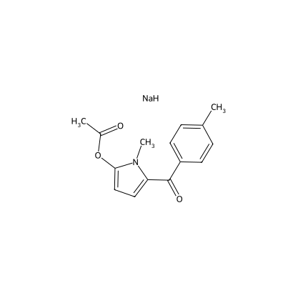 CC(=O)Oc1ccc(C(=O)c2ccc(C)cc2)n1C.[NaH]